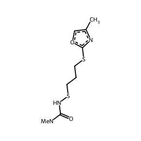 CNC(=O)NSCCCSc1nc(C)co1